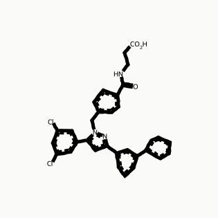 O=C(O)CCNC(=O)c1ccc(Cn2nc(-c3cccc(-c4ccccc4)c3)cc2-c2cc(Cl)cc(Cl)c2)cc1